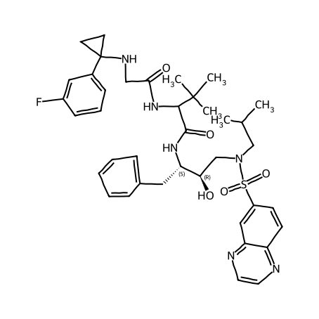 CC(C)CN(C[C@@H](O)[C@H](Cc1ccccc1)NC(=O)C(NC(=O)CNC1(c2cccc(F)c2)CC1)C(C)(C)C)S(=O)(=O)c1ccc2nccnc2c1